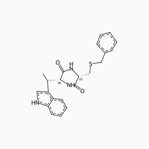 CC(c1c[nH]c2ccccc12)[C@H]1NC(=O)[C@@H](CSCc2ccccc2)NC1=O